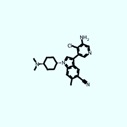 Cc1cc2c(cc1C#N)c(-c1cncc(N)c1Cl)cn2[C@H]1CC[C@H](N(C)C)CC1